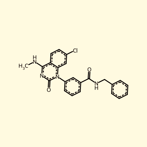 CNc1nc(=O)n(-c2cccc(C(=O)NCc3ccccc3)c2)c2cc(Cl)ccc12